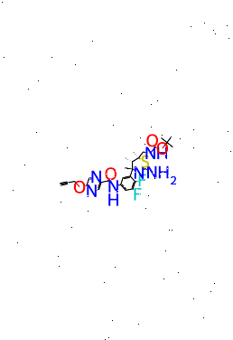 C#CCOc1cnc(C(=O)Nc2cc(F)c(F)c([C@@]3(C)N=C(N)S[C@](C)(CNC(=O)OC(C)(C)C)[C@H]3C)c2)cn1